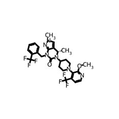 COc1nccc(C(F)(F)F)c1N1CCC(N2C(=O)N(Cc3ccccc3C(F)(F)F)c3nn(C)cc3[C@@H]2C)CC1